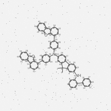 CC1(C)c2cc(Nc3ccccc3-c3ccccc3)ccc2-c2ccc(N(c3ccc(-c4cccc5c4oc4ccccc45)cc3)c3ccc(-c4cccc5c4oc4ccccc45)cc3)cc21